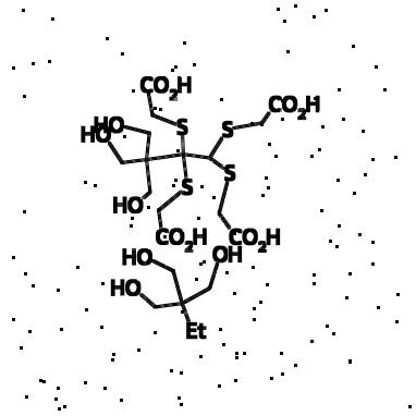 CCC(CO)(CO)CO.O=C(O)CSC(SCC(=O)O)C(SCC(=O)O)(SCC(=O)O)C(CO)(CO)CO